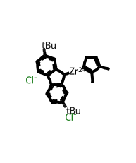 CC1=CC[C]([Zr+2][CH]2c3cc(C(C)(C)C)ccc3-c3ccc(C(C)(C)C)cc32)=C1C.[Cl-].[Cl-]